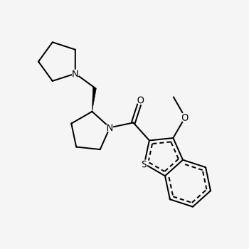 COc1c(C(=O)N2CCC[C@H]2CN2CCCC2)sc2ccccc12